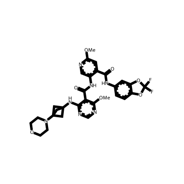 COc1cc(C(=O)Nc2ccc3c(c2)OC(F)(F)O3)c(NC(=O)c2c(NC34CC(N5CCOCC5)(C3)C4)ncnc2OC)cn1